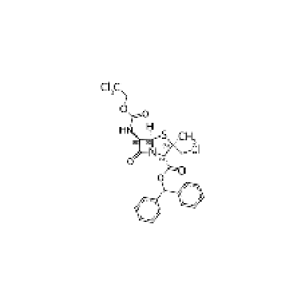 C[C@@]1(CCl)S[C@@H]2[C@H](NC(=O)OCC(Cl)(Cl)Cl)C(=O)N2[C@H]1C(=O)OC(c1ccccc1)c1ccccc1